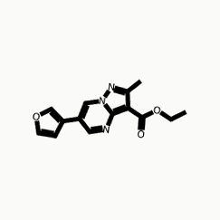 CCOC(=O)c1c(C)nn2cc(-c3ccoc3)cnc12